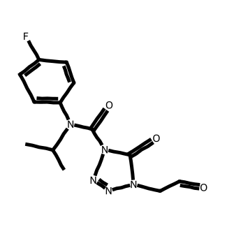 CC(C)N(C(=O)n1nnn(CC=O)c1=O)c1ccc(F)cc1